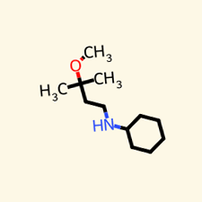 COC(C)(C)CCNC1CCCCC1